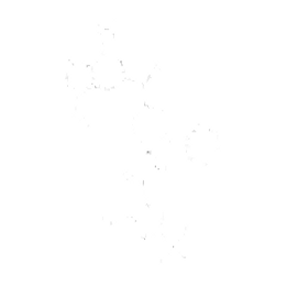 Cc1cc(C(=O)N2CC[C@@H](NC(=O)c3cc(C(F)(F)F)nn3C)[C@@H](c3ccccc3)C2)cn2c(C)cnc12